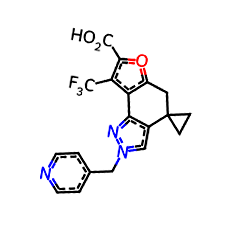 O=C(O)c1oc2c(c1C(F)(F)F)-c1nn(Cc3ccncc3)cc1C1(CC1)C2